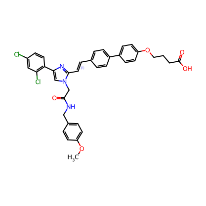 COc1ccc(CNC(=O)Cn2cc(-c3ccc(Cl)cc3Cl)nc2/C=C/c2ccc(-c3ccc(OCCCC(=O)O)cc3)cc2)cc1